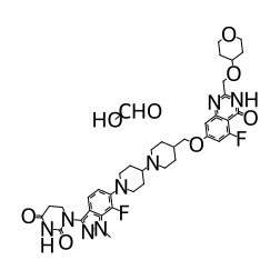 Cn1nc(N2CCC(=O)NC2=O)c2ccc(N3CCC(N4CCC(COc5cc(F)c6c(=O)[nH]c(COC7CCOCC7)nc6c5)CC4)CC3)c(F)c21.O=CO